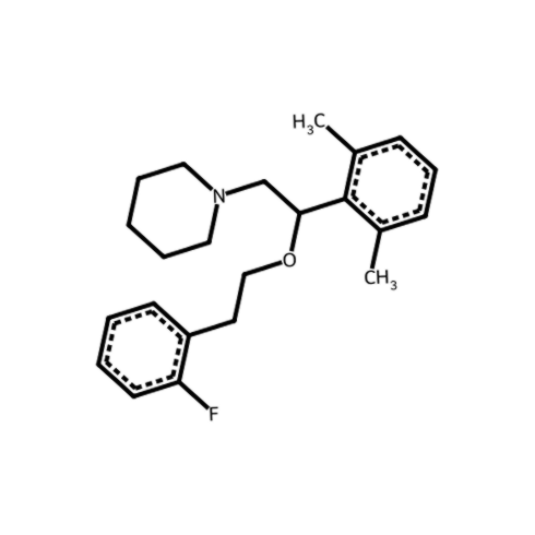 Cc1cccc(C)c1C(CN1CCCCC1)OCCc1ccccc1F